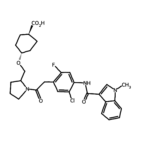 Cn1cc(C(=O)Nc2cc(F)c(CC(=O)N3CCCC3CO[C@H]3CC[C@H](C(=O)O)CC3)cc2Cl)c2ccccc21